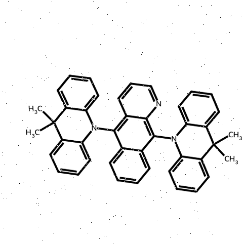 CC1(C)c2ccccc2N(c2c3ccccc3c(N3c4ccccc4C(C)(C)c4ccccc43)c3ncccc23)c2ccccc21